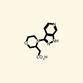 O=C(O)CC1COCCN1c1n[nH]c2cnccc12